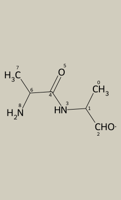 CC([C]=O)NC(=O)C(C)N